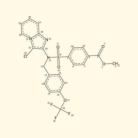 COC(=O)c1ccc(S(=O)(=O)N(Cc2ccc(OC(F)(F)F)cc2)c2nc3ccccn3c2Cl)cc1